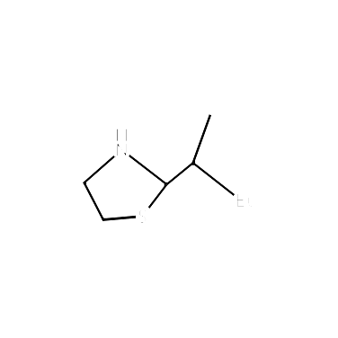 CCC(C)C1NCCS1